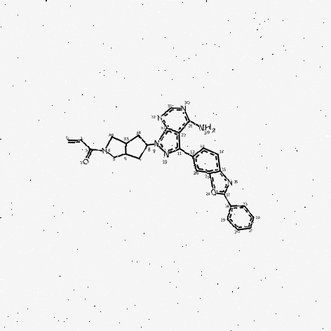 C=CC(=O)N1CC2CC(n3nc(-c4ccc5nc(-c6ccccc6)oc5c4)c4c(N)ncnc43)CC2C1